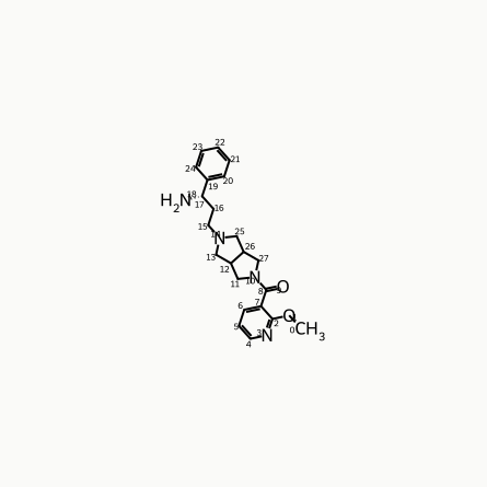 COc1ncccc1C(=O)N1CC2CN(CC[C@H](N)c3ccccc3)CC2C1